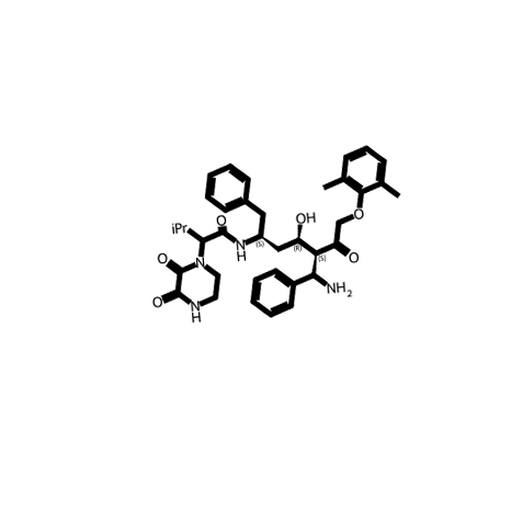 Cc1cccc(C)c1OCC(=O)[C@@H](C(N)c1ccccc1)[C@H](O)C[C@H](Cc1ccccc1)NC(=O)C(C(C)C)N1CCNC(=O)C1=O